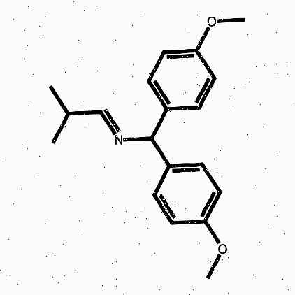 COc1ccc(C(N=CC(C)C)c2ccc(OC)cc2)cc1